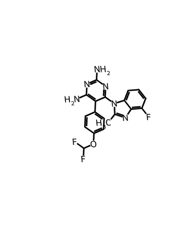 Cc1nc2c(F)cccc2n1-c1nc(N)nc(N)c1-c1ccc(OC(F)F)cc1